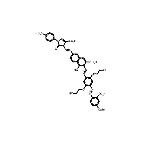 COc1ccc(/N=N/c2cc(OCCO)c(/N=N/c3c(S(=O)(=O)O)cc4cc(/N=N/C5C(=O)N(c6ccc(S(=O)(=O)O)cc6)N=C5C(=O)O)ccc4c3O)cc2OCCO)c(S(=O)(=O)O)c1